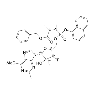 COc1nc(C)nc2c1ncn2[C@@H]1O[C@H](COP(=O)(N[C@@H](C)C(=O)OCc2ccccc2)Oc2cccc3ccccc23)[C@H](F)[C@@]1(C)O